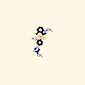 Cc1cn(-c2ccc(S(=O)(=O)c3cn(C)c4cccc(CF)c34)c(C)c2)cn1